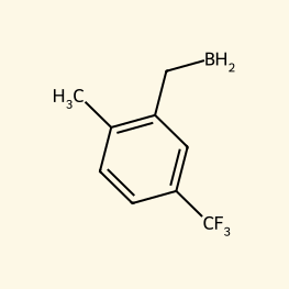 BCc1cc(C(F)(F)F)ccc1C